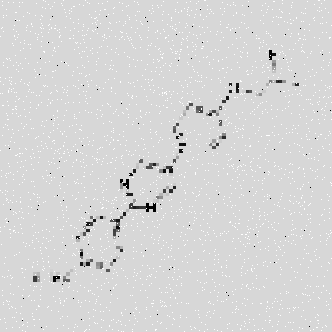 CCCCCCc1ccc(-c2ncc(-c3ccc(OCC(C)F)cc3)cn2)cc1